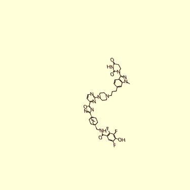 Cn1nc(N2CCC(=O)NC2=O)c2ccc(CCCN3CCN(c4nccc(-c5nc([C@]67CC[C@](CNC(=O)c8cc(F)c(O)c(F)c8F)(CC6)CC7)no5)n4)CC3)cc21